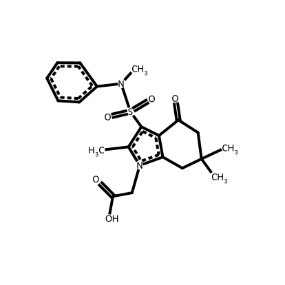 Cc1c(S(=O)(=O)N(C)c2ccccc2)c2c(n1CC(=O)O)CC(C)(C)CC2=O